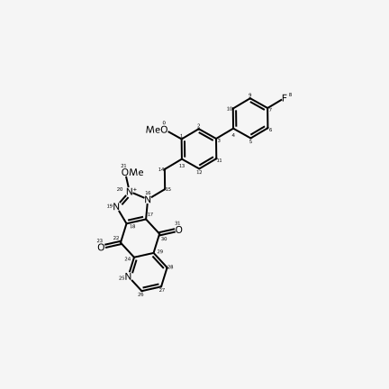 COc1cc(-c2ccc(F)cc2)ccc1CCn1c2c(n[n+]1OC)C(=O)c1ncccc1C2=O